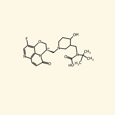 CC(C)(C)N(CC1CN(C[C@@H]2COc3c(F)cnc4ccc(=O)n2c34)CCC1O)C(=O)O